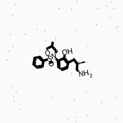 CC(C)CN(c1cccc(C[C@@H](C)CN)c1O)S(=O)(=O)c1ccccc1